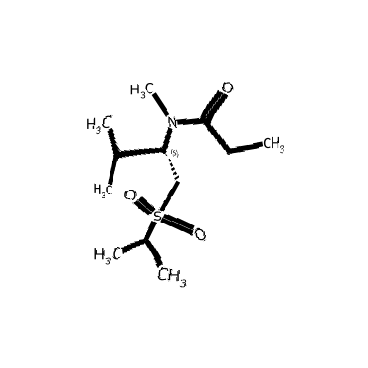 CCC(=O)N(C)[C@H](CS(=O)(=O)C(C)C)C(C)C